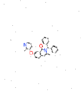 Cc1ncccc1Oc1ccc2cc(C)n(C(c3ccccc3)c3ccccc3)c(=O)c2c1